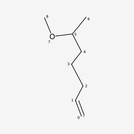 [CH]=CCCCC(C)OC